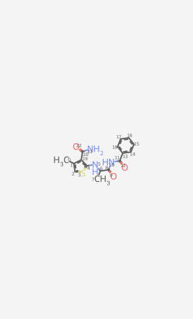 Cc1csc(NC(C)C(=O)NC(=O)c2ccccc2)c1C(N)=O